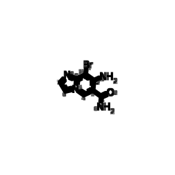 NC(=O)c1cn2ccnc2c(Br)c1N